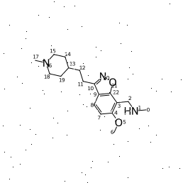 CNCc1c(OC)ccc2c(CCC3CCN(C)CC3)noc12